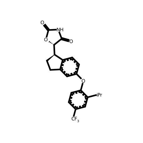 CC(C)c1cc(C(F)(F)F)ccc1Oc1ccc2c(c1)CC[C@H]2[C@@H]1OC(=O)NC1=O